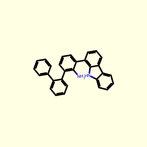 Nc1c(-c2ccccc2-c2ccccc2)cccc1-c1cccc2c1[nH]c1ccccc12